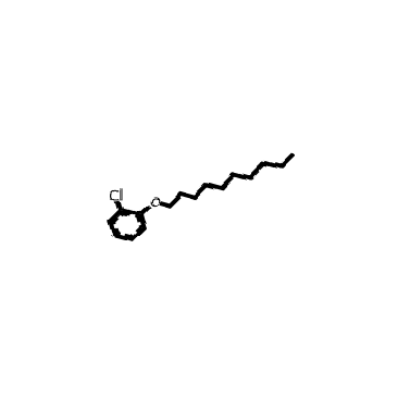 CCCCCCCCCCOc1cc[c]cc1Cl